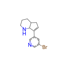 Brc1cncc(C2=CCC3CCCNC23)c1